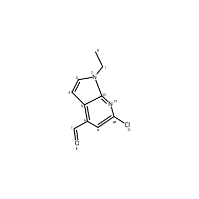 CCn1ccc2c(C=O)cc(Cl)nc21